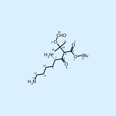 CC(C)(C)OC(=O)C(C(=O)[C@@H](N)CCCCN)C(C)(C)O[C]=O